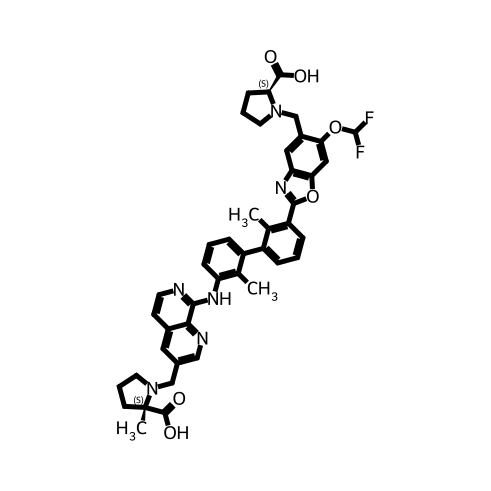 Cc1c(Nc2nccc3cc(CN4CCC[C@@]4(C)C(=O)O)cnc23)cccc1-c1cccc(-c2nc3cc(CN4CCC[C@H]4C(=O)O)c(OC(F)F)cc3o2)c1C